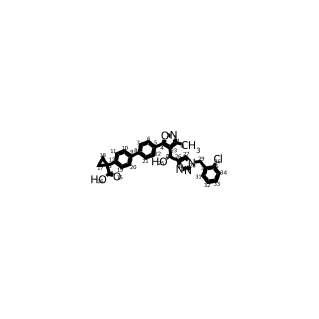 Cc1noc(-c2ccc(-c3ccc(C4(C(=O)O)CC4)cc3)cc2)c1[C@@H](O)c1cn(Cc2ccccc2Cl)nn1